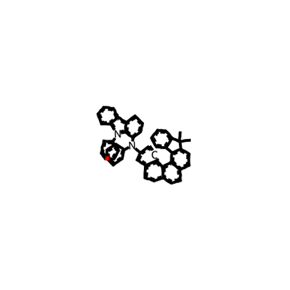 CC1(C)c2ccccc2-c2c1ccc1ccc3ccc4cc(N(c5ccccc5)c5cccc6c7ccccc7n(-c7ccccc7)c56)ccc4c3c21